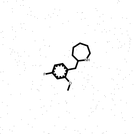 COc1cc(F)ccc1CC1CCCCCN1